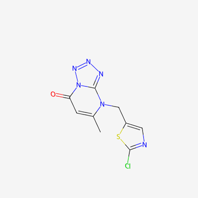 Cc1cc(=O)n2nnnc2n1Cc1cnc(Cl)s1